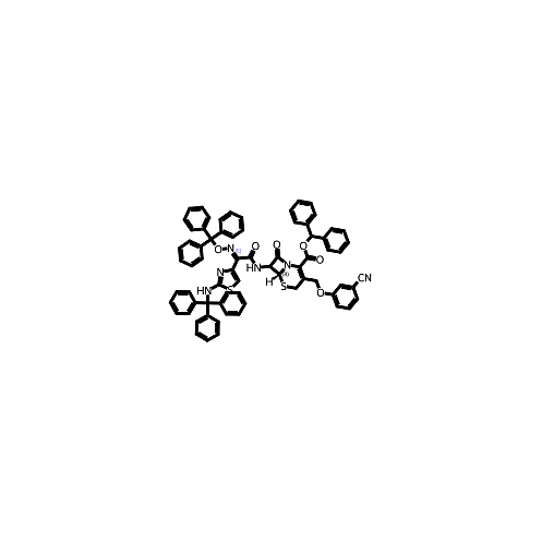 N#Cc1cccc(OCC2=C(C(=O)OC(c3ccccc3)c3ccccc3)N3C(=O)C(NC(=O)/C(=N/OC(c4ccccc4)(c4ccccc4)c4ccccc4)c4csc(NC(c5ccccc5)(c5ccccc5)c5ccccc5)n4)[C@H]3SC2)c1